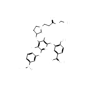 CCOC(=O)CCN1CCC(Oc2c(F)c(Oc3cccc(N(C)C)c3)nc(Oc3cc(C(=N)N)ccc3O)c2F)C1